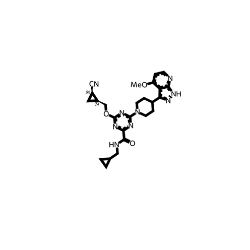 COc1ccnc2[nH]nc(C3CCN(c4nc(OC[C@H]5C[C@H]5C#N)nc(C(=O)NCC5CC5)n4)CC3)c12